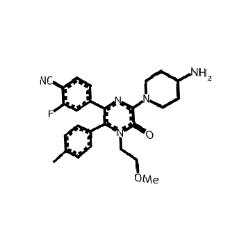 COCCn1c(-c2ccc(C)cc2)c(-c2ccc(C#N)c(F)c2)nc(N2CCC(N)CC2)c1=O